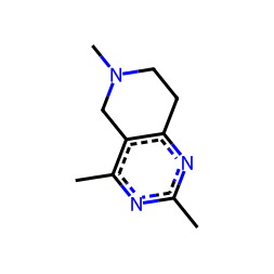 Cc1nc(C)c2c(n1)CCN(C)C2